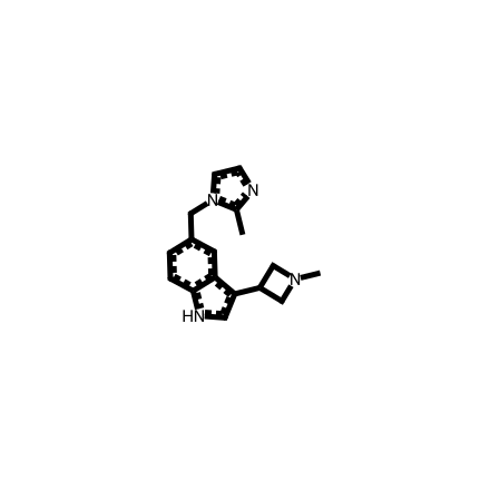 Cc1nccn1Cc1ccc2[nH]cc(C3CN(C)C3)c2c1